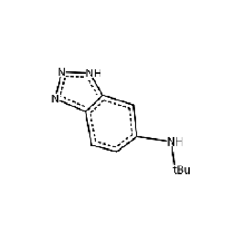 CC(C)(C)Nc1ccc2nn[nH]c2c1